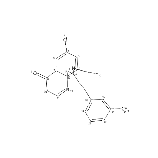 CN1C2=CC(Cl)=CC3C(=O)CC=NC23CC1c1cccc(C(F)(F)F)c1